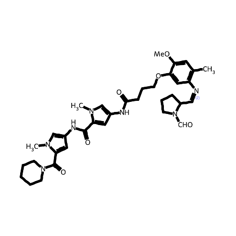 COc1cc(C)c(/N=C\C2CCCN2C=O)cc1OCCCC(=O)Nc1cc(C(=O)Nc2cc(C(=O)N3CCCCC3)n(C)c2)n(C)c1